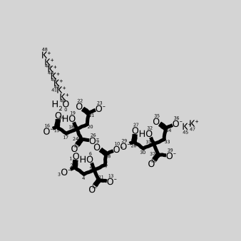 O.O=C([O-])CC(O)(CC(=O)[O-])C(=O)[O-].O=C([O-])CC(O)(CC(=O)[O-])C(=O)[O-].O=C([O-])CC(O)(CC(=O)[O-])C(=O)[O-].[K+].[K+].[K+].[K+].[K+].[K+].[K+].[K+].[K+]